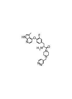 Cc1c[nH]c2nccc(Oc3ccc(C[C@H](N)C(=O)N4CCN(Cc5ccnnc5)CC4)cc3F)c12